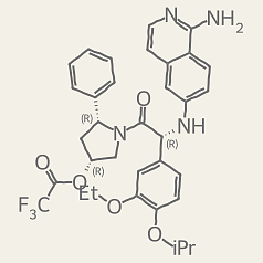 CCOc1cc([C@@H](Nc2ccc3c(N)nccc3c2)C(=O)N2C[C@H](OC(=O)C(F)(F)F)C[C@@H]2c2ccccc2)ccc1OC(C)C